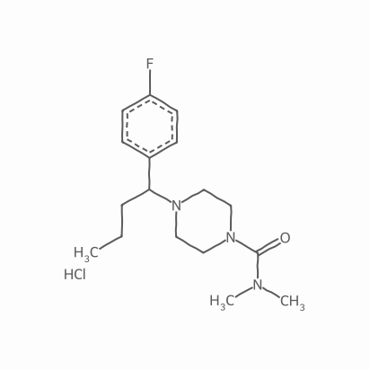 CCCC(c1ccc(F)cc1)N1CCN(C(=O)N(C)C)CC1.Cl